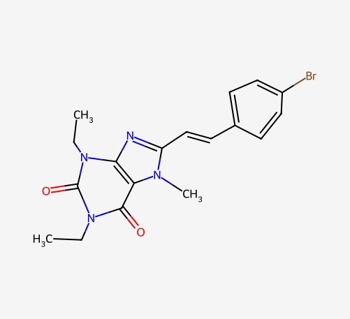 CCn1c(=O)c2c(nc(/C=C/c3ccc(Br)cc3)n2C)n(CC)c1=O